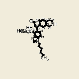 C=CCCCCn1cnc2c(C)c(C(CC(=O)O)c3ccc4c(c3)CNCC4)ccc21.Cl.Cl.Cl